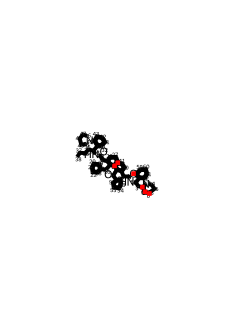 CCCCC(NC(=O)Cc1ccccc1C(OC(c1ccccc1)c1ccccc1CC(=O)NC(CCCC)c1ccccc1N1CCCCC1)c1ccccc1)c1ccccc1N1CCCCC1